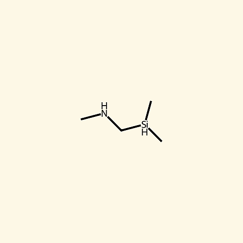 CNC[SiH](C)C